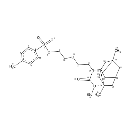 Cc1ccc(S(=O)(=O)OCCOCCN(C(=O)OC(C)(C)C)C23CC4CC(C)(CC(C)(C4)C2)C3)cc1